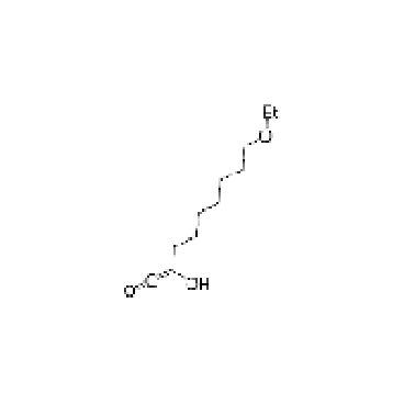 CCOCCCCCCCC(O)=C=O